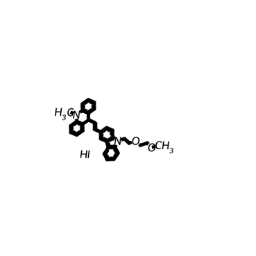 COCCOCCn1c2ccccc2c2cc(C=CC3c4ccccc4N(C)c4ccccc43)ccc21.I